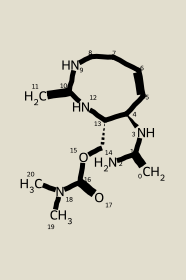 C=C(N)N[C@@H]1/C=C\CCNC(=C)N[C@H]1COC(=O)N(C)C